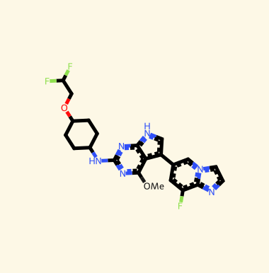 COc1nc(NC2CCC(OCC(F)F)CC2)nc2[nH]cc(-c3cc(F)c4nccn4c3)c12